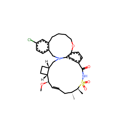 CO[C@@H]1/C=C/C[C@@H](C)[C@H](C)S(=O)(=O)NC(=O)c2ccc3c(c2)N(Cc2ccc(Cl)cc2CCCCO3)C[C@H]2CC[C@H]21